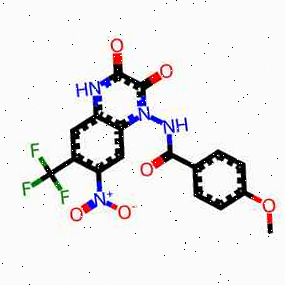 COc1ccc(C(=O)Nn2c(=O)c(=O)[nH]c3cc(C(F)(F)F)c([N+](=O)[O-])cc32)cc1